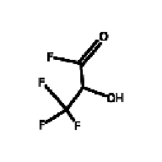 O=C(F)C(O)C(F)(F)F